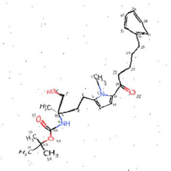 Cn1c(CC[C@](C)(CO)NC(=O)OC(C)(C)C)ccc1C(=O)CCCCc1ccccc1